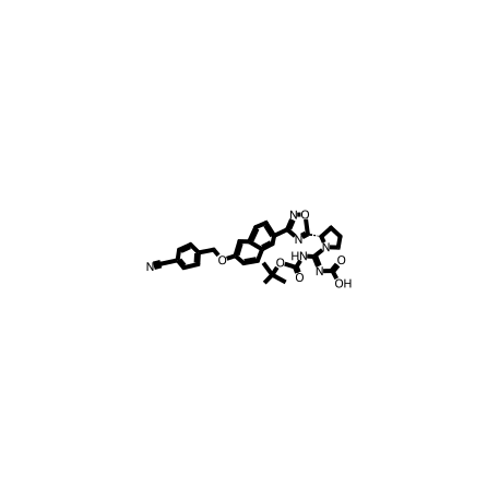 CC(C)(C)OC(=O)N/C(=N/C(=O)O)N1CCC[C@H]1c1nc(-c2ccc3cc(OCc4ccc(C#N)cc4)ccc3c2)no1